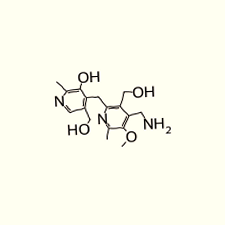 COc1c(C)nc(Cc2c(CO)cnc(C)c2O)c(CO)c1CN